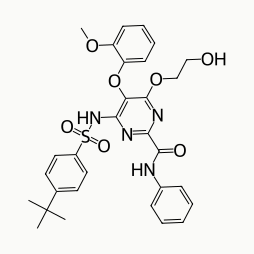 COc1ccccc1Oc1c(NS(=O)(=O)c2ccc(C(C)(C)C)cc2)nc(C(=O)Nc2ccccc2)nc1OCCO